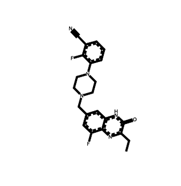 CCc1nc2c(F)cc(CN3CCN(c4cccc(C#N)c4F)CC3)cc2[nH]c1=O